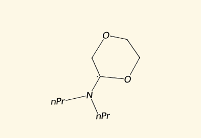 CCCN(CCC)[C]1COCCO1